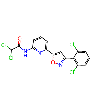 O=C(Nc1cccc(-c2cc(-c3c(Cl)cccc3Cl)no2)n1)C(Cl)Cl